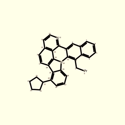 CC(C)Cc1c2ccccc2cc2c3nccc4ccc5c6c(C7CCCC7)cccc6n(c12)c5c43